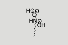 CCCCCCCC(NCc1ccc(O)c(OC)c1)C(=O)O